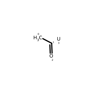 CC=O.[U]